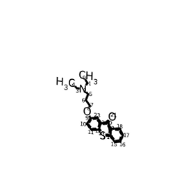 CCN(CC)CCCOc1ccc2sc3ccccc3c(=O)c2c1